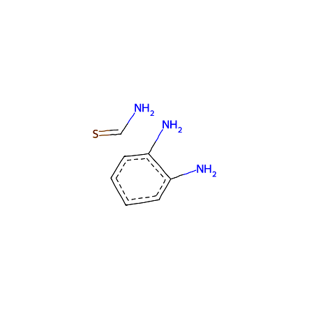 NC=S.Nc1ccccc1N